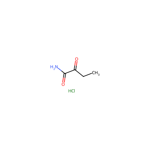 CCC(=O)C(N)=O.Cl